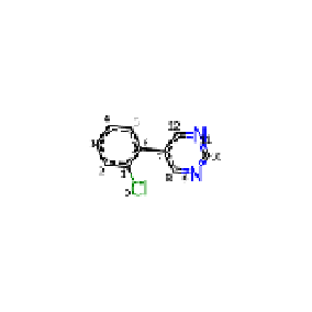 Clc1ccccc1-c1cncnc1